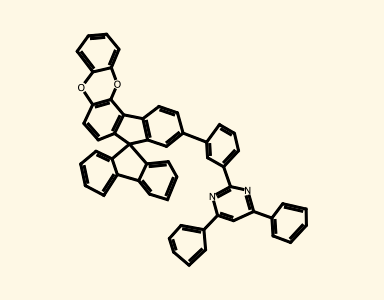 c1ccc(-c2cc(-c3ccccc3)nc(-c3cccc(-c4ccc5c(c4)C4(c6ccccc6-c6ccccc64)c4ccc6c(c4-5)Oc4ccccc4O6)c3)n2)cc1